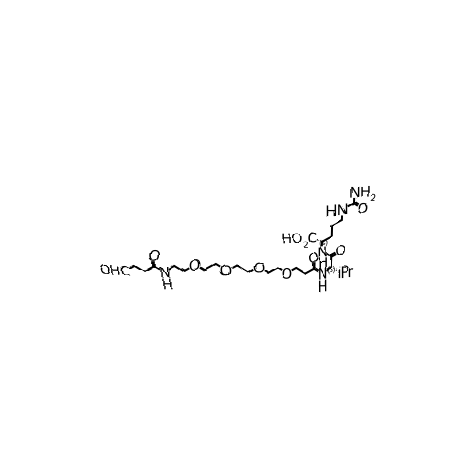 CC(C)[C@H](NC(=O)CCOCCOCCOCCOCCNC(=O)CCC=O)C(=O)N[C@@H](CCCNC(N)=O)C(=O)O